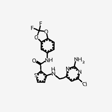 Nc1nc(Cl)cc(CNc2ccsc2C(=O)Nc2ccc3c(c2)OC(F)(F)O3)n1